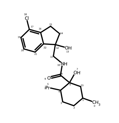 CC1CCC(C(C)C)C(O)(C(=O)NCC2(O)CCc3c(Cl)cccc32)C1